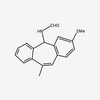 CSc1ccc2c(c1)C(NC=O)c1ccccc1C(C)=C2